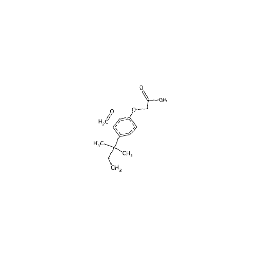 C=O.CCC(C)(C)c1ccc(OCC(=O)O)cc1